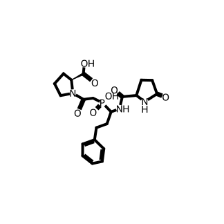 O=C1CCC(C(=O)NC(CCc2ccccc2)P(=O)(O)CC(=O)N2CCC[C@H]2C(=O)O)N1